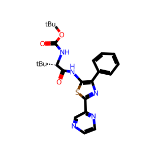 CC(C)(C)OC(=O)N[C@H](C(=O)Nc1sc(-c2cnccn2)nc1-c1ccccc1)C(C)(C)C